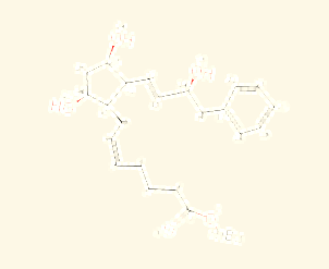 CCCCOC(=O)CCC/C=C\C[C@@H]1C(/C=C/[C@@H](O)Cc2ccccc2)[C@H](O)C[C@@H]1O